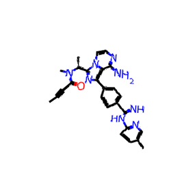 CC#CC(=O)N(C)[C@@H](C)c1nc(-c2ccc(C(=N)Nc3ccc(C)cn3)cc2)c2c(N)nccn12